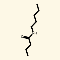 CCCC[CH]NC(=O)CCC